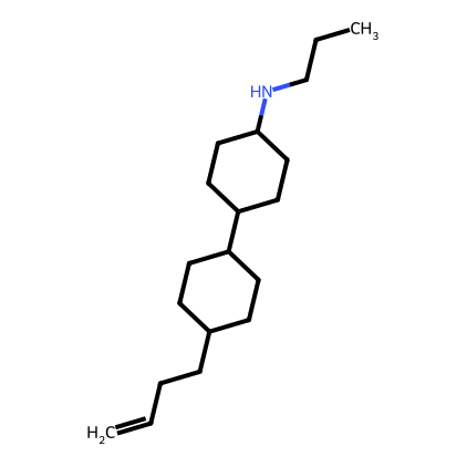 C=CCCC1CCC(C2CCC(NCCC)CC2)CC1